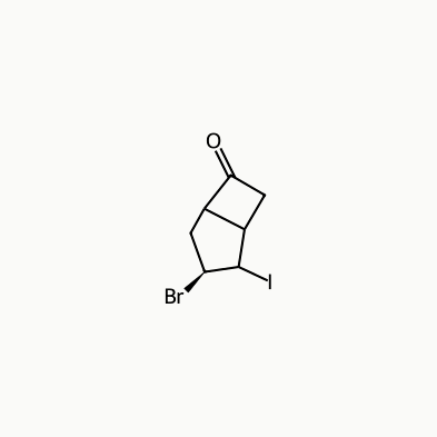 O=C1CC2C1C[C@H](Br)C2I